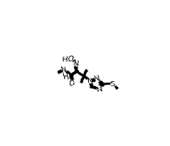 CNC(=O)C(=NO)C(C)(C)n1cnc(SC)n1